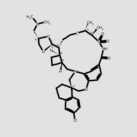 C[C@@H]1[C@@H](C)CCC[C@@H]([C@H]2OC[C@H](CN(C)C)O2)[C@@H]2CC[C@H]2CN2C[C@@]3(CCCc4cc(Cl)ccc43)COc3ccc(cc32)C(=O)NS1(=O)=O